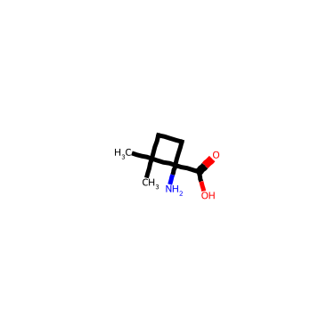 CC1(C)CCC1(N)C(=O)O